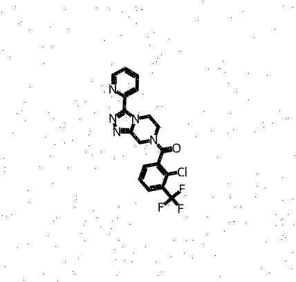 O=C(c1cccc(C(F)(F)F)c1Cl)N1CCn2c(nnc2-c2ccccn2)C1